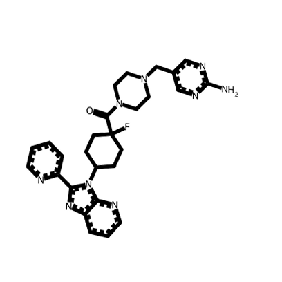 Nc1ncc(CN2CCN(C(=O)C3(F)CCC(n4c(-c5ccccn5)nc5cccnc54)CC3)CC2)cn1